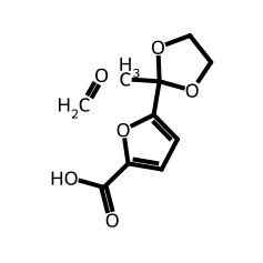 C=O.CC1(c2ccc(C(=O)O)o2)OCCO1